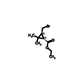 CCOC(=O)[C@H]1[C@H](CBr)C1(C)C